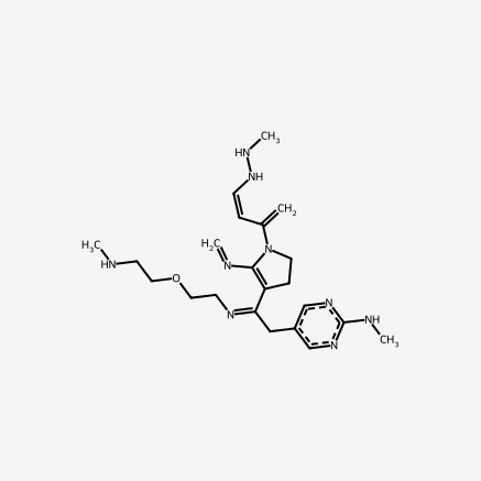 C=NC1=C(/C(Cc2cnc(NC)nc2)=N\CCOCCNC)CCN1C(=C)/C=C\NNC